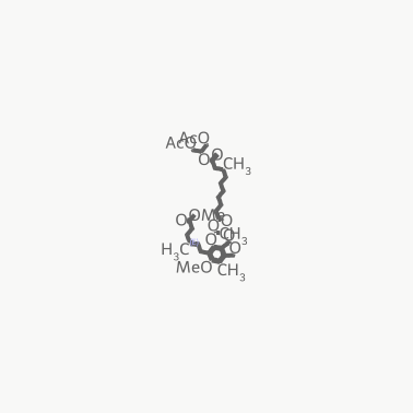 COC(=O)CC/C(C)=C/Cc1c(OC)c(C)c2c(c1OC(C)OC(=O)CCCCCCC(C)CC(=O)OC(COC(C)=O)COC(C)=O)C(=O)OC2